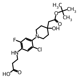 CC(C)(C)OC(=O)CC1(O)CCN(c2cc(F)c(NCCC(=O)O)cc2Cl)CC1